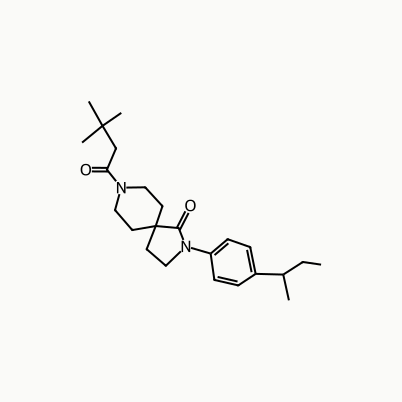 CCC(C)c1ccc(N2CCC3(CCN(C(=O)CC(C)(C)C)CC3)C2=O)cc1